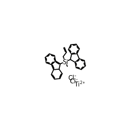 C=CC[Si](C)(C1=c2ccccc2=C2C=CC=CC21)C1c2ccccc2-c2ccccc21.[Cl-].[Cl-].[Ti+2]